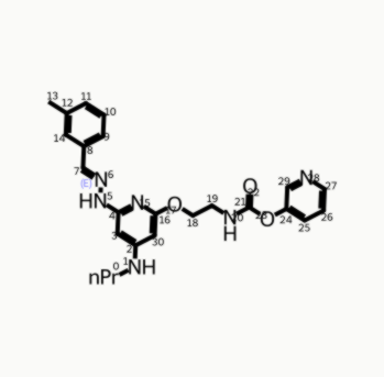 CCCNc1cc(N/N=C/c2cccc(C)c2)nc(OCCNC(=O)Oc2cccnc2)c1